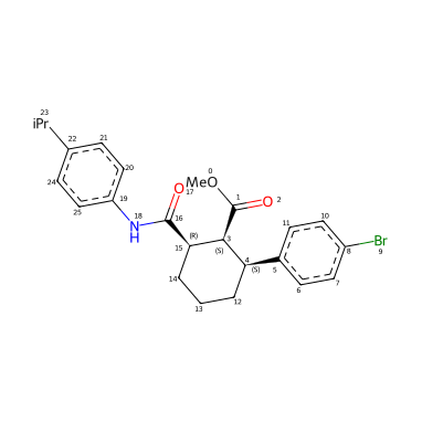 COC(=O)[C@H]1[C@@H](c2ccc(Br)cc2)CCC[C@H]1C(=O)Nc1ccc(C(C)C)cc1